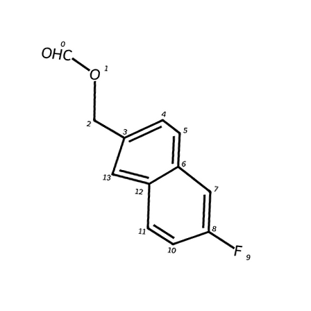 O=COCc1ccc2cc(F)ccc2c1